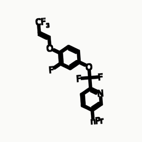 CCCc1ccc(C(F)(F)Oc2ccc(O/C=C/C(F)(F)F)c(F)c2)nc1